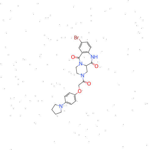 O=C1Nc2ccc(Br)cc2C(=O)N2CCN(C(=O)COc3ccc(N4CCCC4)cc3)CC12